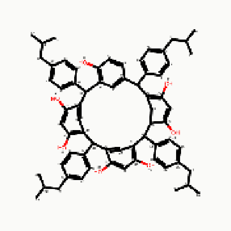 CC(C)Cc1ccc(C2C3=C(O)C=C(O)C(C3)C(c3ccc(CC(C)C)cc3)c3cc(c(O)cc3O)C(c3ccc(CC(C)C)cc3)c3cc(c(O)cc3O)C(c3ccc(CC(C)C)cc3)c3cc2ccc3O)cc1